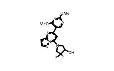 COc1ncc(-c2cc(N3CC(O)C(F)(F)C3)n3nccc3n2)c(OC)n1